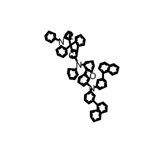 c1ccc(N2c3ccccc3C3(c4ccccc4-c4cc(N(c5ccccc5)c5cccc6oc7c(N(c8cccc(-c9cccc%10ccccc9%10)c8)c8cccc(-c9cccc%10ccccc9%10)c8)cccc7c56)ccc43)c3ccccc32)cc1